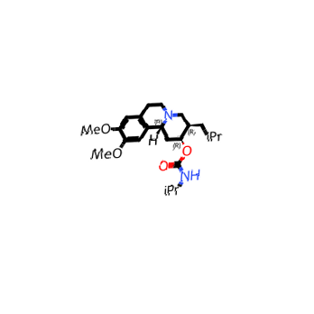 COc1cc2c(cc1OC)[C@H]1C[C@@H](OC(=O)NC(C)C)[C@H](CC(C)C)CN1CC2